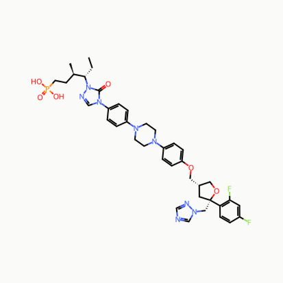 CC[C@@H]([C@H](C)CCP(=O)(O)O)n1ncn(-c2ccc(N3CCN(c4ccc(OC[C@@H]5CO[C@@](Cn6cncn6)(c6ccc(F)cc6F)C5)cc4)CC3)cc2)c1=O